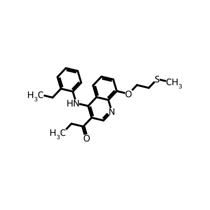 CCC(=O)c1cnc2c(OCCSC)cccc2c1Nc1ccccc1CC